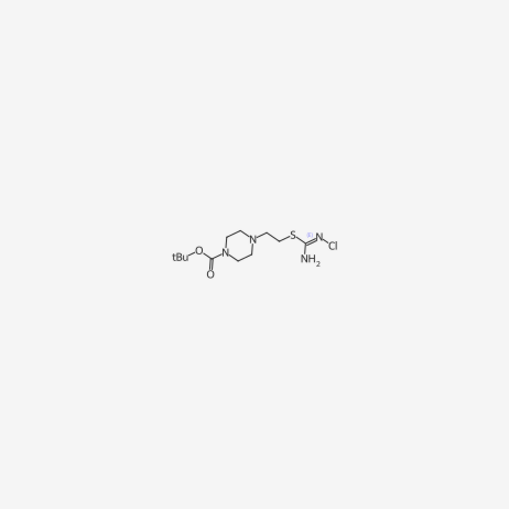 CC(C)(C)OC(=O)N1CCN(CCS/C(N)=N/Cl)CC1